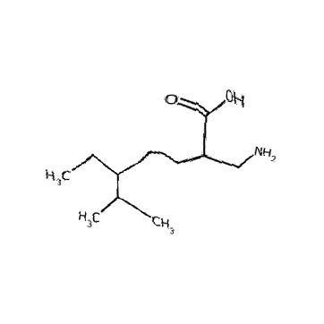 CCC(CCC(CN)C(=O)O)C(C)C